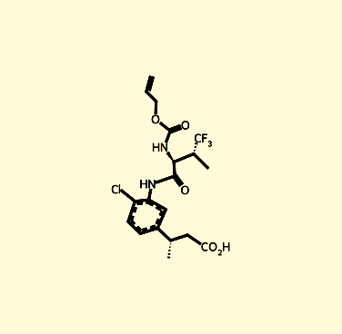 C=CCOC(=O)N[C@H](C(=O)Nc1cc([C@@H](C)CC(=O)O)ccc1Cl)[C@@H](C)C(F)(F)F